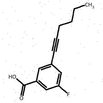 CCCCC#Cc1cc(F)cc(C(=O)O)c1